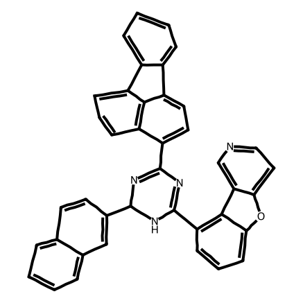 c1ccc2c(c1)-c1cccc3c(C4=NC(c5ccc6ccccc6c5)NC(c5cccc6oc7ccncc7c56)=N4)ccc-2c13